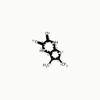 Cc1c(C(F)(F)F)sc2[nH]c(=O)c(=O)[nH]c12